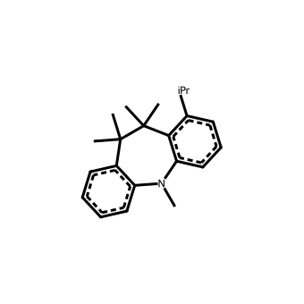 CC(C)c1cccc2c1C(C)(C)C(C)(C)c1ccccc1N2C